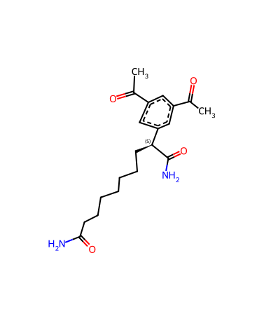 CC(=O)c1cc(C(C)=O)cc([C@H](CCCCCCCC(N)=O)C(N)=O)c1